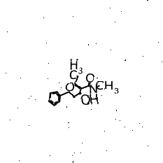 CCC1=C(C(=O)NC)C(=O)CC(c2ccccc2)O1